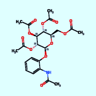 CC(=O)Nc1ccccc1O[C@@H]1O[C@H](COC(C)=O)[C@@H](OC(C)=O)[C@H](OC(C)=O)[C@H]1OC(C)=O